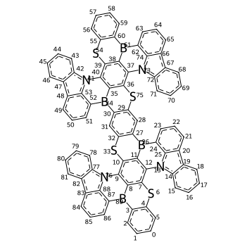 c1ccc2c(c1)Sc1c3c(c4c5c1-n1c6ccccc6c6cccc(c61)B5c1cc5c(cc1S4)B1c4c(c6c7c(c4-n4c8ccccc8c8cccc1c84)Sc1ccccc1B7c1cccc4c7ccccc7n-6c14)S5)-n1c4ccccc4c4cccc(c41)B23